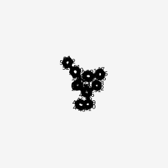 c1ccc(-c2ccc(N(c3ccc(-c4ccccc4)cc3)c3cccc4c3oc3c(-c5ccccc5)cc(-c5cccc6ccccc56)cc34)cc2)cc1